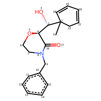 CC1([C@@H](O)[C@@H]2OCCN(Cc3ccccc3)C2=O)C=CC=CC1